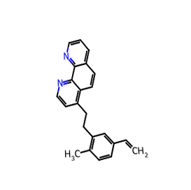 C=Cc1ccc(C)c(CCc2ccnc3c2ccc2cccnc23)c1